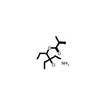 C=C(C)C(=O)OC(CC)C(Cl)(CC)CC.N